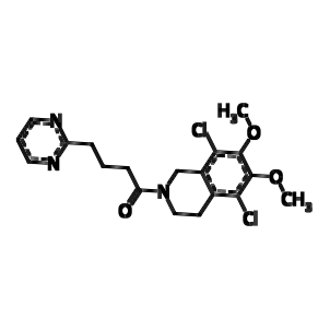 COc1c(Cl)c2c(c(Cl)c1OC)CN(C(=O)CCCc1ncccn1)CC2